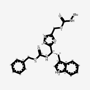 CC(C)(C)NC(=O)OCc1nnc([C@H](Cc2c[nH]c3ccccc23)NC(=O)OCc2ccccc2)o1